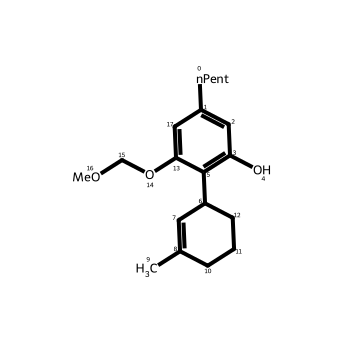 CCCCCc1cc(O)c(C2C=C(C)CCC2)c(OCOC)c1